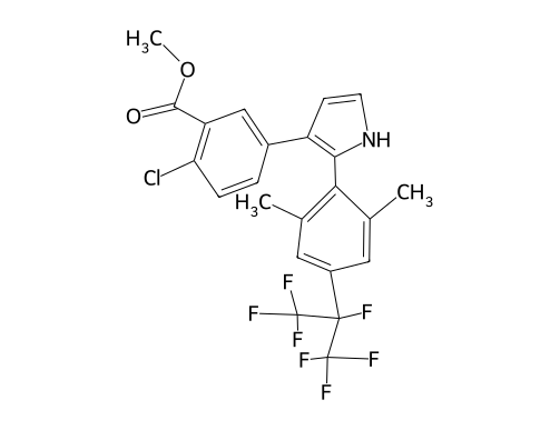 COC(=O)c1cc(-c2cc[nH]c2-c2c(C)cc(C(F)(C(F)(F)F)C(F)(F)F)cc2C)ccc1Cl